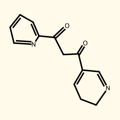 O=C(CC(=O)c1ccccn1)C1=CCCN=C1